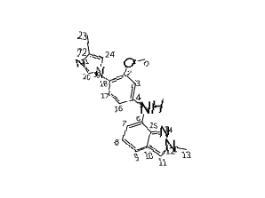 COc1cc(Nc2cccc3cn(C)nc23)ccc1-n1cnc(C)c1